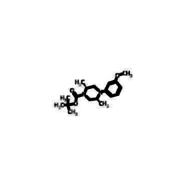 COc1cccc(N2C[C@@H](C)N(C(=O)OC(C)(C)C)C[C@H]2C)c1